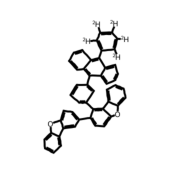 [2H]c1c([2H])c([2H])c(-c2c3ccccc3c(-c3cccc(-c4c(-c5ccc6oc7ccccc7c6c5)ccc5oc6ccccc6c45)c3)c3ccccc23)c([2H])c1[2H]